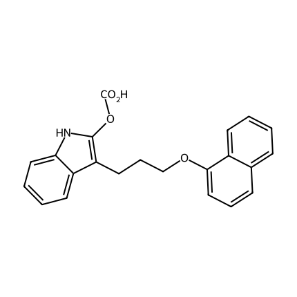 O=C(O)Oc1[nH]c2ccccc2c1CCCOc1cccc2ccccc12